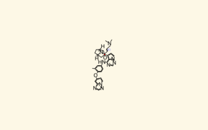 Cc1cc(Nc2ncnn3ccc(C4C[C@H]5CC[C@@H](C4)N5C(=O)/C=C/CN(C)C)c23)ccc1Oc1ccn2ncnc2c1